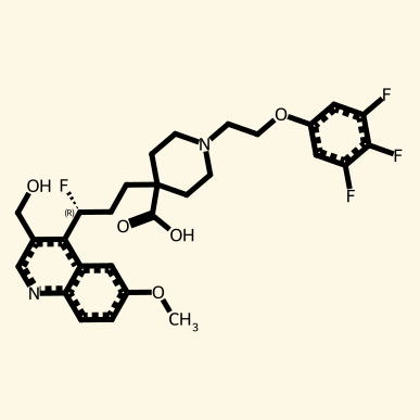 COc1ccc2ncc(CO)c([C@H](F)CCC3(C(=O)O)CCN(CCOc4cc(F)c(F)c(F)c4)CC3)c2c1